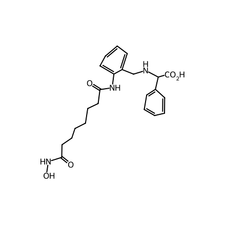 O=C(CCCCCCC(=O)Nc1ccccc1CNC(C(=O)O)c1ccccc1)NO